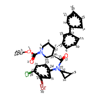 CC(C)(C)OC(=O)N1CC[C@H](c2cccc(-c3ccccc3)c2)[C@@H](C(=O)N(c2ccc(Cl)c(Br)c2)C2CC2)C1